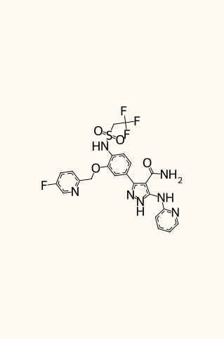 NC(=O)c1c(-c2ccc(NS(=O)(=O)CC(F)(F)F)c(OCc3ccc(F)cn3)c2)n[nH]c1Nc1ccccn1